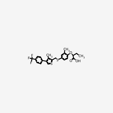 CCC(Oc1ccc(SCc2scc(-c3ccc(C(F)(F)F)cc3)c2C)cc1C)C(=O)O